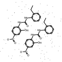 CCc1ccccc1NC(=O)Nc1ccc([N+](=O)[O-])cc1O.CCc1ccccc1NC(=O)Nc1ccc([N+](=O)[O-])cc1O